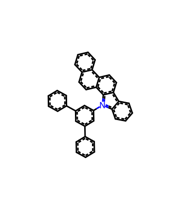 c1ccc(-c2cc(-c3ccccc3)cc(-n3c4ccccc4c4ccc5c6ccccc6ccc5c43)c2)cc1